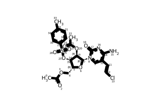 CC(=O)OC[C@H]1O[C@@H](n2cc(C=CCl)c(N)nc2=O)[C@H](OC(C)=O)[C@H]1OS(=O)(=O)c1ccc(C)cc1